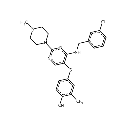 CN1CCN(c2ncc(Sc3ccc(C#N)c(C(F)(F)F)c3)c(NCc3cccc(Cl)c3)n2)CC1